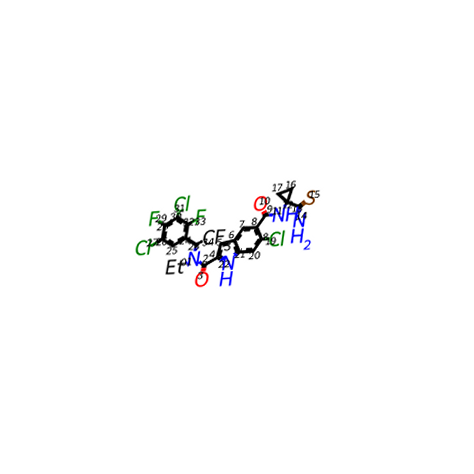 CCN(C(=O)c1cc2cc(C(=O)NC3(C(N)=S)CC3)c(Cl)cc2[nH]1)C(c1cc(Cl)c(F)c(Cl)c1F)C(F)(F)F